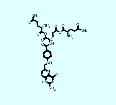 NC(=O)CC[C@H](N)C(=O)OC(=O)CC[C@H](NC(=O)c1ccc(NCc2cnc3[nH]c(N)nc(=O)c3n2)cc1)C(=O)OC(=O)[C@@H](N)CCC(N)=O